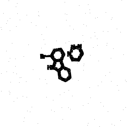 Brc1cccc2c1[nH]c1ccccc12.c1cnnnc1